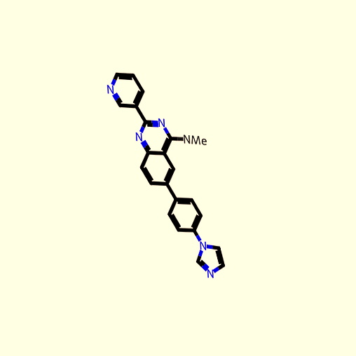 CNc1nc(-c2cccnc2)nc2ccc(-c3ccc(-n4ccnc4)cc3)cc12